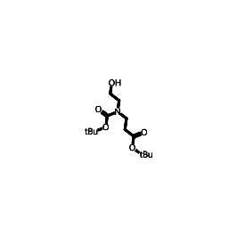 CC(C)(C)OC(=O)CCN(CCO)C(=O)OC(C)(C)C